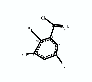 C=C(Cl)c1cc(I)cc(I)c1I